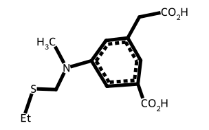 CCSCN(C)c1cc(CC(=O)O)cc(C(=O)O)c1